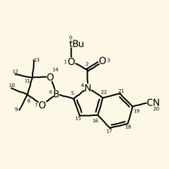 CC(C)(C)OC(=O)n1c(B2OC(C)(C)C(C)(C)O2)cc2ccc(C#N)cc21